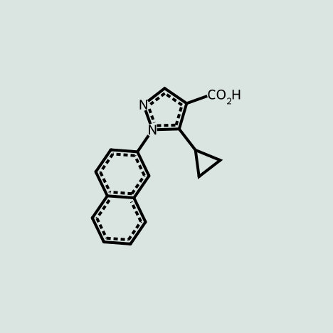 O=C(O)c1cnn(-c2ccc3ccccc3c2)c1C1CC1